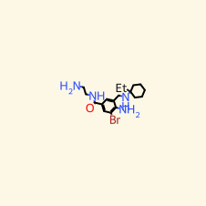 CCC1(NCc2cc(C(=O)NCCN)cc(Br)c2N)CCCCC1